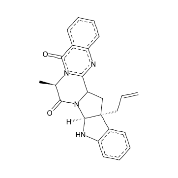 C=CC[C@@]12CC3c4nc5ccccc5c(=O)n4[C@H](C)C(=O)N3[C@@H]1Nc1ccccc12